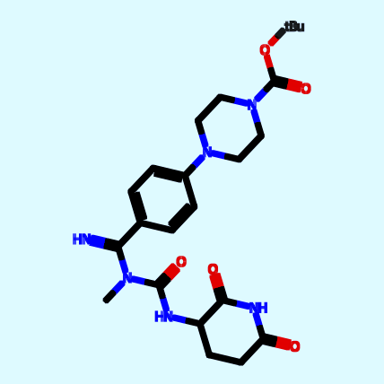 CN(C(=N)c1ccc(N2CCN(C(=O)OC(C)(C)C)CC2)cc1)C(=O)NC1CCC(=O)NC1=O